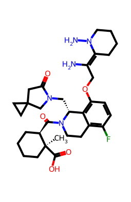 C[C@]1(C(=O)O)CCCC[C@H]1C(=O)N1CCc2c(F)ccc(OC/C(N)=C3\CCCCN3N)c2[C@H]1CN1CC2(CC2)CC1=O